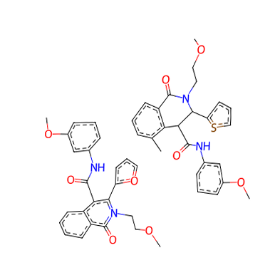 COCCN1C(=O)c2cccc(C)c2C(C(=O)Nc2cccc(OC)c2)C1c1cccs1.COCCn1c(-c2ccco2)c(C(=O)Nc2cccc(OC)c2)c2ccccc2c1=O